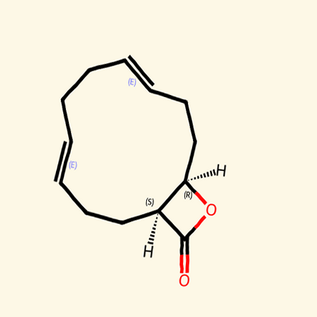 O=C1O[C@@H]2CC/C=C/CC/C=C/CC[C@H]12